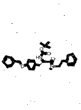 CN(CCc1ccccc1)C(=O)[C@H](Cc1ccc(OCc2ccccc2)cc1)NC(=O)OC(C)(C)C